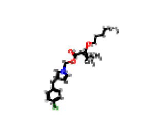 CCCCCOC1C(C(=O)OCn2ccc(Cc3ccc(Cl)cc3)c2)C1(C)C